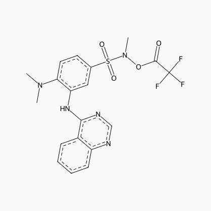 CN(C)c1ccc(S(=O)(=O)N(C)OC(=O)C(F)(F)F)cc1Nc1ncnc2ccccc12